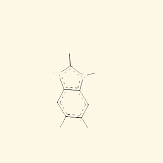 O=C(O)n1c(C(F)(F)F)nc2cc(Br)c(Cl)cc21